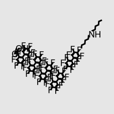 CCCCCCNCCCCCC.Fc1c(F)c(F)c(-c2c(F)c(F)c(F)c(F)c2F)c(F)c1F.Fc1c(F)c(F)c(-c2c(F)c(F)c(F)c(F)c2F)c(F)c1F.Fc1c(F)c(F)c(-c2c(F)c(F)c(F)c(F)c2F)c(F)c1F.Fc1c(F)c(F)c(-c2c(F)c(F)c(F)c(F)c2F)c(F)c1F.Fc1c(F)c(F)c(-c2c(F)c(F)c(F)c(F)c2F)c(F)c1F.[O]=[Al][OH]